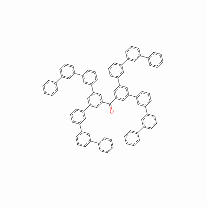 O=C(c1cc(-c2cccc(-c3cccc(-c4ccccc4)c3)c2)cc(-c2cccc(-c3cccc(-c4ccccc4)c3)c2)c1)c1cc(-c2cccc(-c3cccc(-c4ccccc4)c3)c2)cc(-c2cccc(-c3cccc(-c4ccccc4)c3)c2)c1